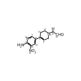 Nc1ncc(C2=CCN(BC=O)CC2)cc1[N+](=O)[O-]